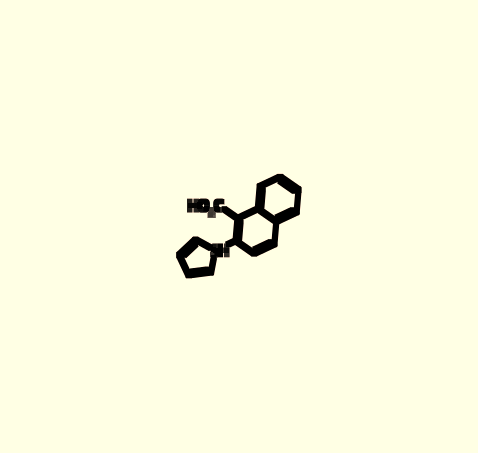 O=C(O)c1c([SH]2C=CC=C2)ccc2ccccc12